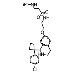 CC(C)NCCS(=O)(=O)NCCOc1ccc2c(c1)C(C1(c3ccc(Cl)cc3)CCC1)NCC2